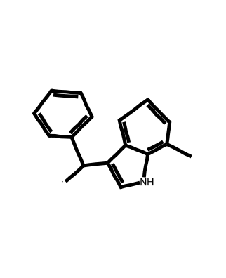 [CH2]C(c1ccccc1)c1c[nH]c2c(C)cccc12